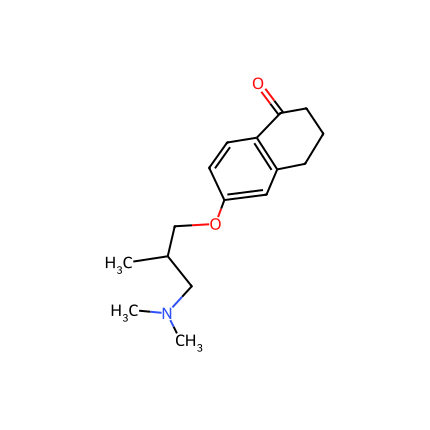 CC(COc1ccc2c(c1)CCCC2=O)CN(C)C